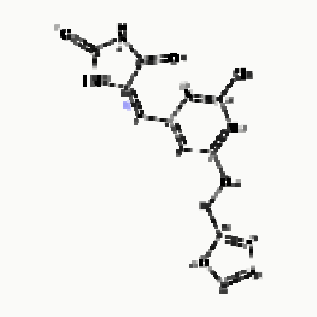 O=C1NC(=O)/C(=C\c2cc(OCc3ccco3)nc(Cl)n2)N1